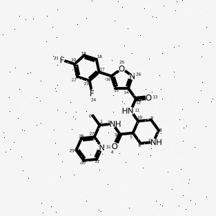 CC(NC(=O)C1CNCCC1NC(=O)c1cc(-c2ccc(F)cc2F)on1)c1ccccn1